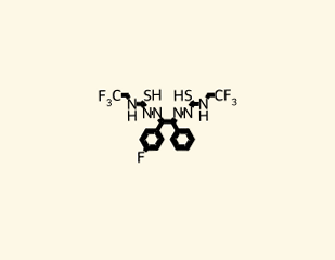 Fc1ccc(C(=N\N=C(/S)NCC(F)(F)F)/C(=N/N=C(\S)NCC(F)(F)F)c2ccccc2)cc1